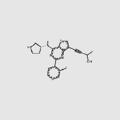 CC(O)C#Cc1csc2c(N[C@@H]3CCNC3)nc(-c3ccncc3F)nc12